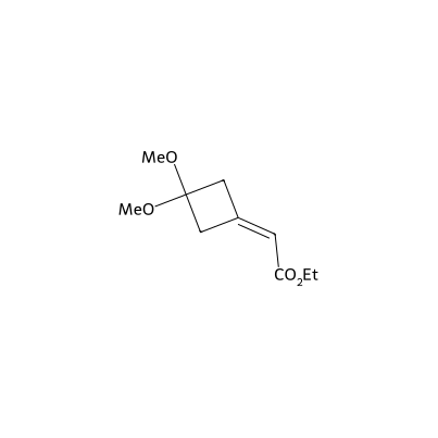 CCOC(=O)C=C1CC(OC)(OC)C1